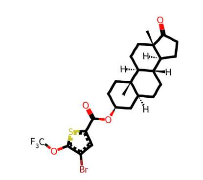 C[C@]12CC[C@H](OC(=O)c3cc(Br)c(OC(F)(F)F)s3)C[C@@H]1CC[C@@H]1[C@@H]2CC[C@]2(C)C(=O)CC[C@@H]12